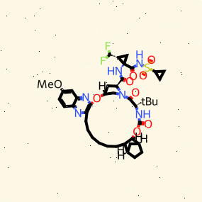 COc1ccc2nc3c(nc2c1)O[C@@H]1C[C@@H](C(=O)N[C@]2(C(=O)NS(=O)(=O)C4CC4)C[C@H]2C(F)F)N(C1)C(=O)[C@H](C(C)(C)C)NC(=O)O[C@@H]1[C@H]2CC[C@H](C2)[C@H]1CCCCCC3